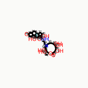 CC[C@H]1OC(=O)[C@H](C)[C@@H](O)[C@H](C)[C@@H](O)[C@](C)(O)C[C@@H](C)CN(CCCNC(=O)[C@@]2(O)[C@H](C)CC3C4CCC5=CC(=O)C=C[C@]5(C)[C@@]4(F)[C@@H](O)C[C@@]32C)[C@H](C)[C@@H](O)[C@]1(C)O